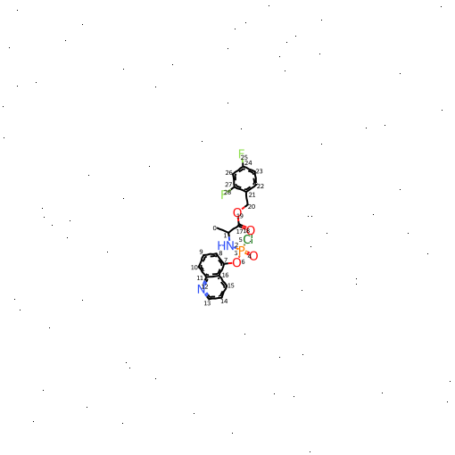 CC(NP(=O)(Cl)Oc1cccc2ncccc12)C(=O)OCc1ccc(F)cc1F